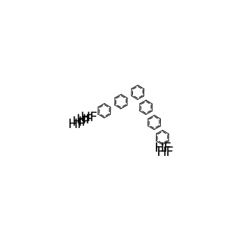 F.F.F.F.F.F.c1ccccc1.c1ccccc1.c1ccccc1.c1ccccc1.c1ccccc1.c1ccccc1